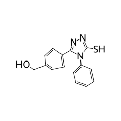 OCc1ccc(-c2nnc(S)n2-c2ccccc2)cc1